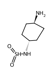 N[C@H]1CC[C@H](N[SH](=O)=O)CC1